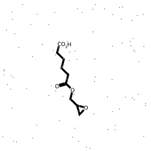 O=C(O)CCCCC(=O)OCC1CO1